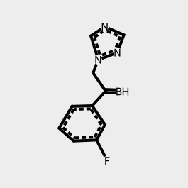 B=C(Cn1cncn1)c1cccc(F)c1